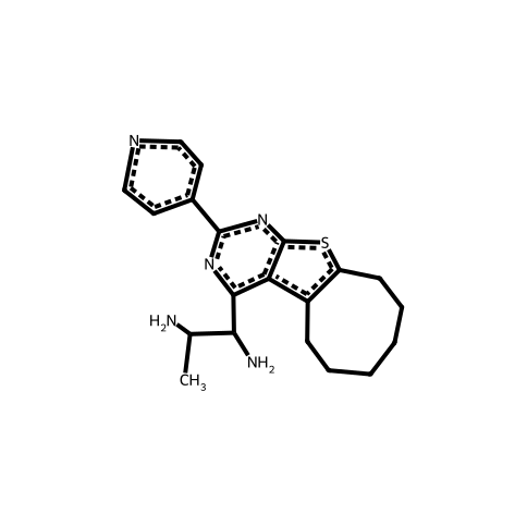 CC(N)C(N)c1nc(-c2ccncc2)nc2sc3c(c12)CCCCCC3